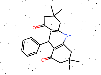 CC1(C)CC(=O)C2=C(C1)NC1=C(C(=O)CC(C)(C)C1)C2c1ccccc1